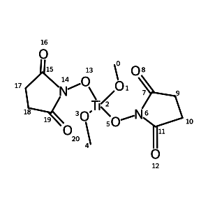 C[O][Ti]([O]C)([O]N1C(=O)CCC1=O)[O]N1C(=O)CCC1=O